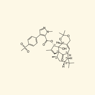 CC1=C[C@]23C(=O)[C@@H](C=C4COC(C)(C)O[C@H]4C2(O)[C@H]1OC(=O)c1c(-c2ccc(S(C)(=O)=O)cc2)cnn1C)[C@H]1[C@@H](C[C@H]3C)C1(C)C